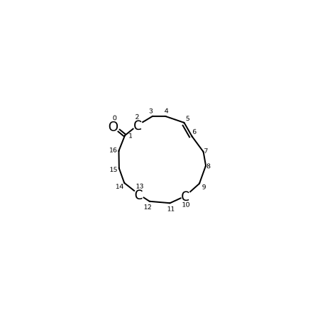 O=C1CCC/C=C/CCCCCCCCCC1